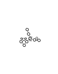 c1ccc(-c2ccc(-c3cc(-c4ccc5c(c4)C4(c6ccccc6-c6ccccc6-5)c5ccccc5-c5ccccc54)nc(-c4ccc5c(c4)oc4ccccc45)n3)cc2)cc1